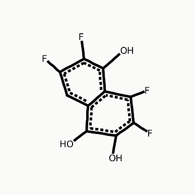 Oc1c(F)c(F)c2c(O)c(F)c(F)cc2c1O